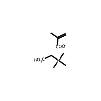 C=C(C)C(=O)[O-].C[N+](C)(C)CC(=O)O